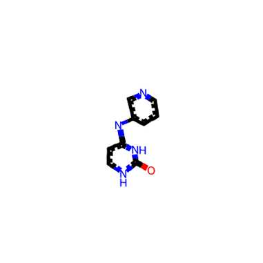 O=c1[nH]cc/c(=N/c2cccnc2)[nH]1